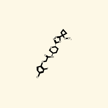 O=C(COc1ccc(Cl)cc1F)N[C@@H]1CC[C@@H](c2nnc(C3(OC(F)(F)F)CCC3)o2)OC1